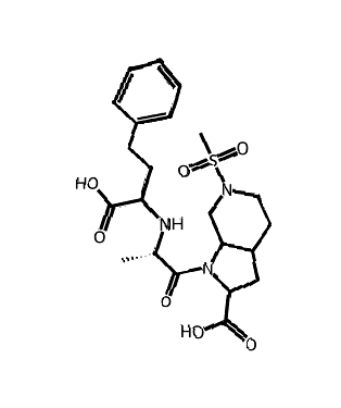 C[C@H](NC(CCc1ccccc1)C(=O)O)C(=O)N1C(C(=O)O)CC2CCN(S(C)(=O)=O)CC21